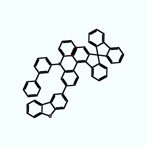 c1ccc(-c2cccc(N(c3ccccc3)c3cc(-c4ccc5oc6ccccc6c5c4)ccc3-c3cccc4c3-c3ccccc3C43c4ccccc4-c4ccccc43)c2)cc1